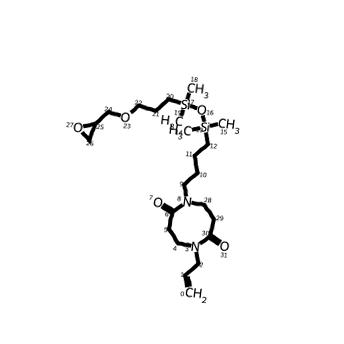 C=CCN1CCC(=O)N(CCCC[Si](C)(C)O[Si](C)(C)CCCOCC2CO2)CCC1=O